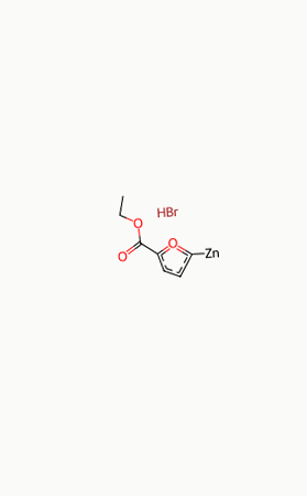 Br.CCOC(=O)c1cc[c]([Zn])o1